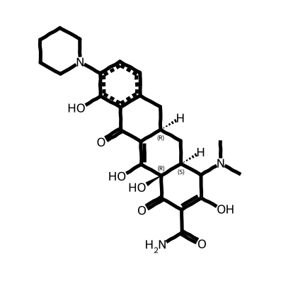 CN(C)C1C(O)=C(C(N)=O)C(=O)[C@]2(O)C(O)=C3C(=O)c4c(ccc(N5CCCCC5)c4O)C[C@H]3C[C@@H]12